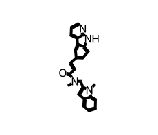 CN(Cc1cc2ccccc2n1C)C(=O)/C=C/c1ccc2[nH]c3ncccc3c2c1